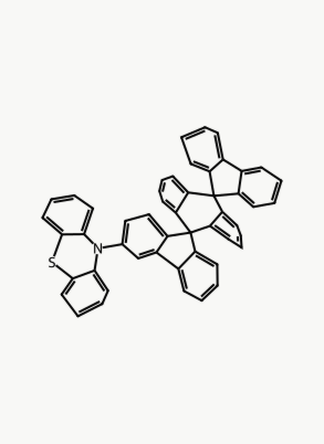 c1ccc2c(c1)Sc1ccccc1N2c1ccc2c(c1)-c1ccccc1C21c2ccccc2C2(c3ccccc3-c3ccccc32)c2ccccc21